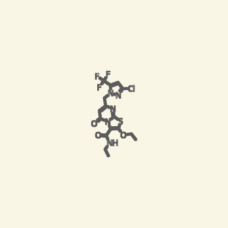 CCNC(=O)c1c(OCC)sc2nc(Cn3nc(Cl)cc3C(F)(F)F)cc(=O)n12